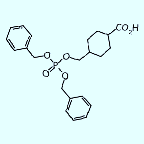 O=C(O)C1CCC(COP(=O)(OCc2ccccc2)OCc2ccccc2)CC1